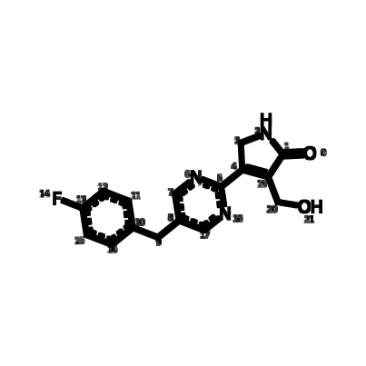 O=C1NCC(c2ncc(Cc3ccc(F)cc3)cn2)=C1CO